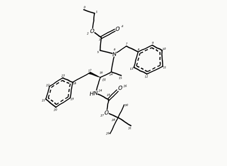 CCOC(=O)CN(Cc1ccccc1)C(C)[C@H](Cc1ccccc1)NC(=O)OC(C)(C)C